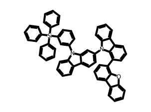 c1ccc([Si](c2ccccc2)(c2ccccc2)c2cccc(-n3c4ccccc4c4ccc(-n5c6ccccc6c6cccc(-c7cccc8c7oc7ccccc78)c65)cc43)c2)cc1